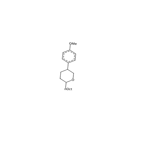 CCCCCCCCC1CCC(c2ccc(OC)cc2)CO1